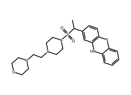 CC(c1ccc2c(c1)Nc1ccccc1S2)S(=O)(=O)N1CCN(CCN2CCOCC2)CC1